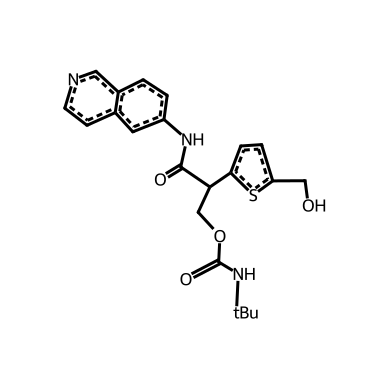 CC(C)(C)NC(=O)OCC(C(=O)Nc1ccc2cnccc2c1)c1ccc(CO)s1